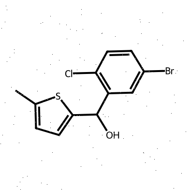 Cc1ccc(C(O)c2cc(Br)ccc2Cl)s1